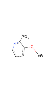 [CH2]CCOc1cccnc1[N+](=O)[O-]